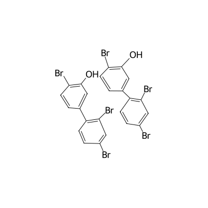 Oc1cc(-c2ccc(Br)cc2Br)ccc1Br.Oc1cc(-c2ccc(Br)cc2Br)ccc1Br